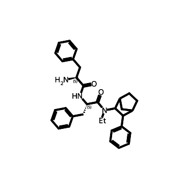 CCN(C(=O)[C@H](Cc1ccccc1)NC(=O)[C@@H](N)Cc1ccccc1)C1C2CCC(C2)C1c1ccccc1